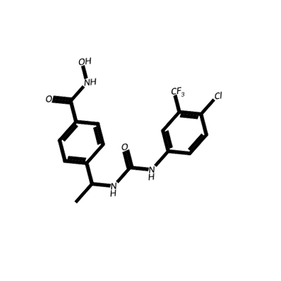 CC(NC(=O)Nc1ccc(Cl)c(C(F)(F)F)c1)c1ccc(C(=O)NO)cc1